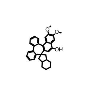 COc1cc2c(O)cc3c(c2cc1OC)-c1ccccc1-c1ccccc1C31CC2CCCCC2C1